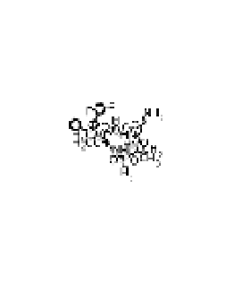 CC(=O)N[C@@H](CCCCN)C(=O)NC(C(=O)N[C@@H](C)C(=O)NCCCN(C(=O)CO)[C@@H](c1cc(-c2cc(F)ccc2F)cn1Cc1ccccc1)C(C)(C)C)C(C)C